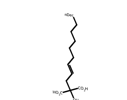 CCCCCCCCCCCCCCCC=CCC(O)(C(=O)O)C(=O)O